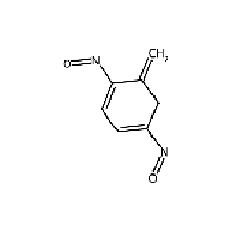 C=C1CC(N=O)=CC=C1N=O